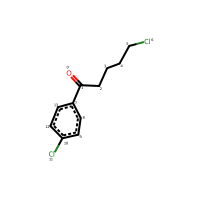 O=C(CCCCCl)c1ccc(Cl)cc1